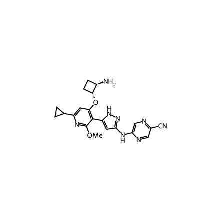 COc1nc(C2CC2)cc(O[C@@H]2CC[C@H]2N)c1-c1cc(Nc2cnc(C#N)cn2)n[nH]1